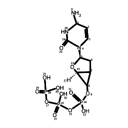 NC1C=CN([C@H]2CC3C(OP(=O)(O)OP(=O)(O)OP(=O)(O)O)[C@H]3O2)C(=O)N1